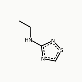 CCNc1ncsn1